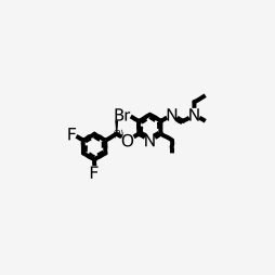 CCc1nc(O[C@H](C)c2cc(F)cc(F)c2)c(Br)cc1N=CN(C)CC